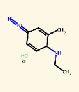 CCNC1C=CC(=[N+]=[N-])C=C1C.Cl.[Zn]